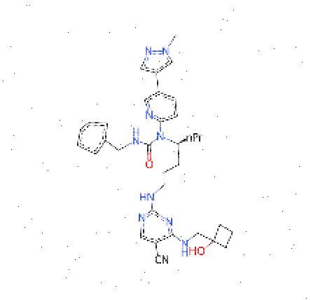 CCC[C@@H](CCCNc1ncc(C#N)c(NCC2(O)CCC2)n1)N(C(=O)NCc1ccccc1)c1ccc(-c2cnn(C)c2)cn1